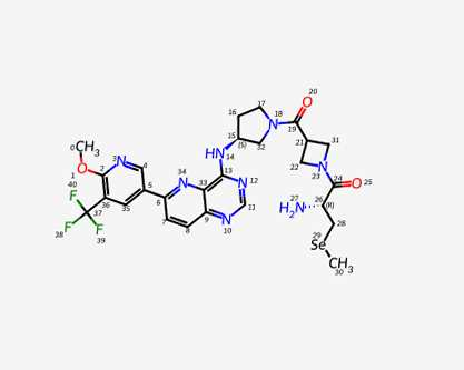 COc1ncc(-c2ccc3ncnc(N[C@H]4CCN(C(=O)C5CN(C(=O)[C@@H](N)C[Se]C)C5)C4)c3n2)cc1C(F)(F)F